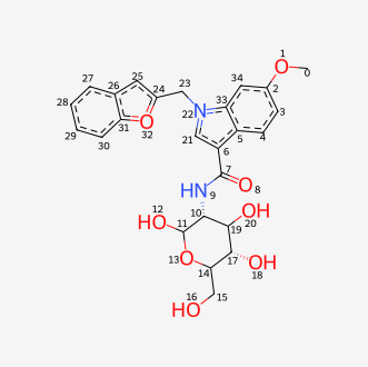 COc1ccc2c(C(=O)N[C@H]3C(O)OC(CO)[C@@H](O)C3O)cn(Cc3cc4ccccc4o3)c2c1